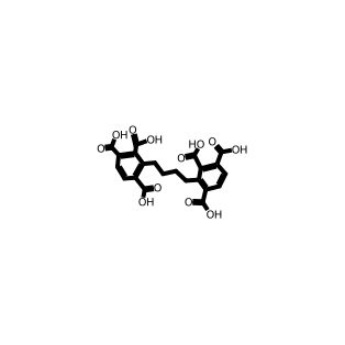 O=C(O)c1ccc(C(=O)O)c(C(=O)O)c1CCCCc1c(C(=O)O)ccc(C(=O)O)c1C(=O)O